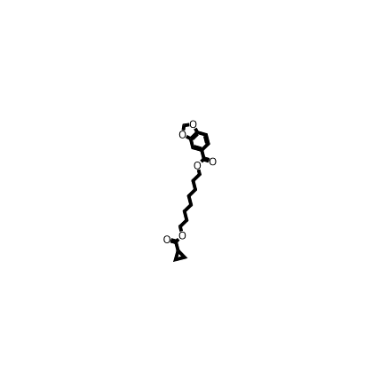 O=C(OCCCCCCCCOC(=O)C1CC1)c1ccc2c(c1)OCO2